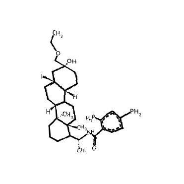 CCOC[C@@]1(O)CC[C@@H]2C3CC[C@]4(C)C([C@@H](C)NC(=O)c5ccc(P)cc5P)CCC[C@@]4(C)[C@@H]3CC[C@]2(I)C1